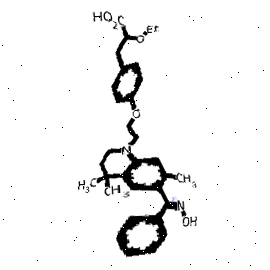 CCOC(Cc1ccc(OCCN2CCC(C)(C)c3cc(/C(=N/O)c4ccccc4)c(C)cc32)cc1)C(=O)O